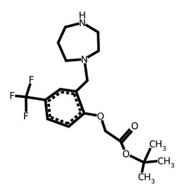 CC(C)(C)OC(=O)COc1ccc(C(F)(F)F)cc1CN1CCCNCC1